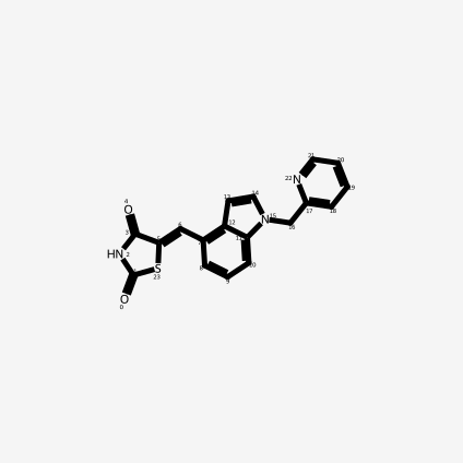 O=C1NC(=O)/C(=C/c2cccc3c2ccn3Cc2ccccn2)S1